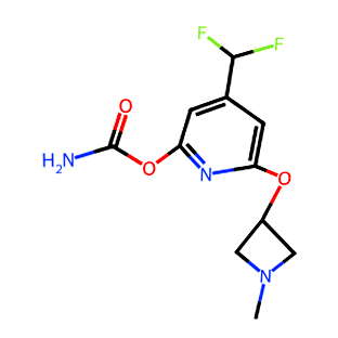 CN1CC(Oc2cc(C(F)F)cc(OC(N)=O)n2)C1